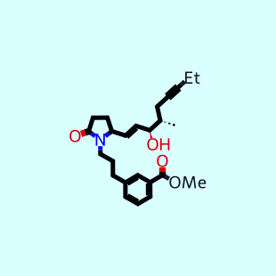 CCC#CC[C@H](C)[C@H](O)C=CC1CCC(=O)N1CCCc1cccc(C(=O)OC)c1